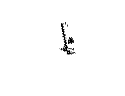 CCCCCCCCCCCCCCCCCC(=O)O[C@H](CO)[C@H]1OC[C@H](O)[C@H]1O.COS(=O)(=O)O